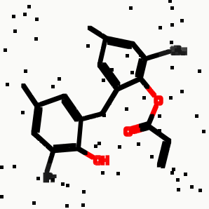 C=CC(=O)Oc1c(Cc2cc(C)cc(C(C)C)c2O)cc(C)cc1C(C)(C)C